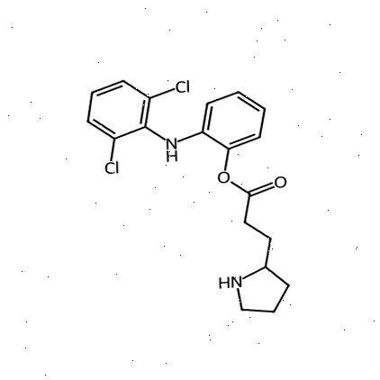 O=C(CCC1CCCN1)Oc1ccccc1Nc1c(Cl)cccc1Cl